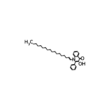 CCCCCCCCCCCCCCCCC=Cn1c(-c2ccccc2)c(O)c(=O)c2ccccc21